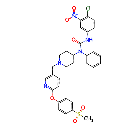 CS(=O)(=O)c1ccc(Oc2ccc(CN3CCC(N(C(=O)Nc4ccc(Cl)c([N+](=O)[O-])c4)c4ccccc4)CC3)cn2)cc1